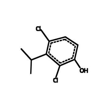 CC(C)c1c(Cl)ccc(O)c1Cl